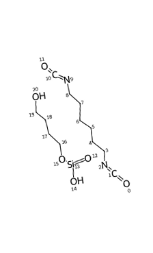 O=C=NCCCCCCN=C=O.O=[Si](O)OCCCCO